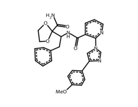 COc1ccc(-c2cn(-c3ncccc3C(=O)NC(Cc3ccccc3)C3(C(N)=O)OCCO3)cn2)cc1